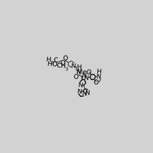 COc1cc2c(cc1-n1nc(C(=O)NCCN3CCC(C(=O)OCC(C)(C)O)CC3)c3cnc(-c4cnn5cccnc45)cc31)OCCN2